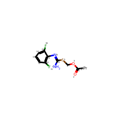 CC(C)C(=O)OCS/C(N)=N/c1c(F)cccc1F